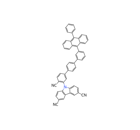 N#Cc1ccc2c(c1)c1cc(C#N)ccc1n2-c1cc(-c2ccc(-c3cccc(-c4c5ccccc5c(-c5ccccc5)c5ccccc45)c3)cc2)ccc1C#N